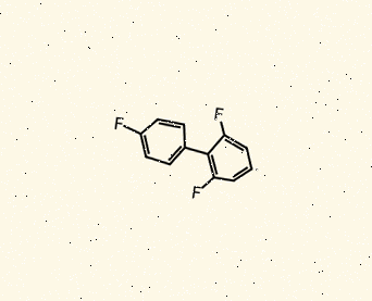 Fc1ccc(-c2c(F)c[c]cc2F)cc1